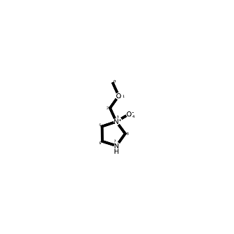 COC[N+]1([O-])CCNC1